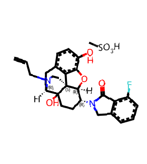 C=CCN1CC[C@]23c4c5ccc(O)c4O[C@H]2[C@H](N2Cc4cccc(F)c4C2=O)CCC3(O)[C@H]1C5.CS(=O)(=O)O